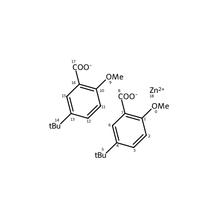 COc1ccc(C(C)(C)C)cc1C(=O)[O-].COc1ccc(C(C)(C)C)cc1C(=O)[O-].[Zn+2]